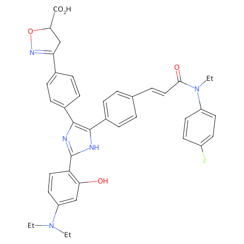 CCN(CC)c1ccc(-c2nc(-c3ccc(C4=NOC(C(=O)O)C4)cc3)c(-c3ccc(C=CC(=O)N(CC)c4ccc(F)cc4)cc3)[nH]2)c(O)c1